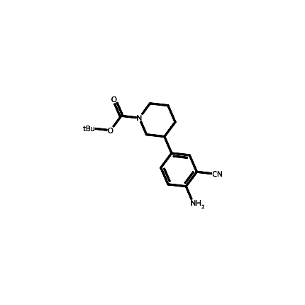 CC(C)(C)OC(=O)N1CCCC(c2ccc(N)c(C#N)c2)C1